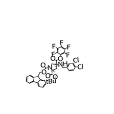 CC(C)(C)OC(=O)[C@H]1C[C@@](NCc2ccc(Cl)c(Cl)c2)(C(=O)Oc2c(F)c(F)c(F)c(F)c2F)CN1C(=O)OCC1c2ccccc2-c2ccccc21